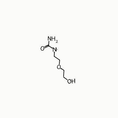 NC(=O)[N]CCOCCO